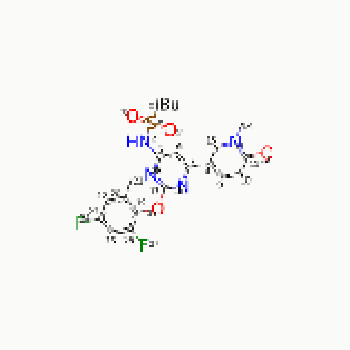 CCC(C)S(=O)(=O)Nc1cc(-c2ccc(=O)n(C)c2)nc(Oc2c(C)cc(F)cc2F)n1